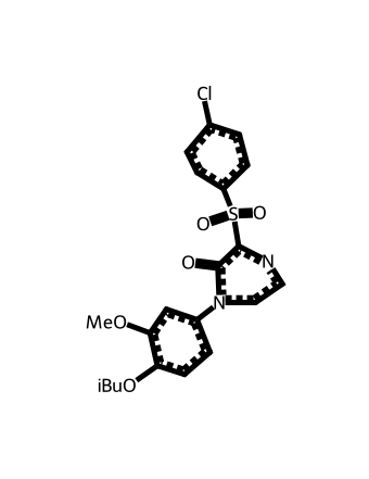 COc1cc(-n2ccnc(S(=O)(=O)c3ccc(Cl)cc3)c2=O)ccc1OCC(C)C